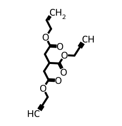 C#CCOC(=O)CC(CC(=O)OCC=C)C(=O)OCC#C